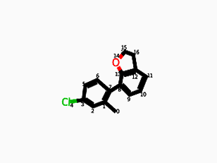 Cc1cc(Cl)ccc1-c1cccc2c1O[C]C2